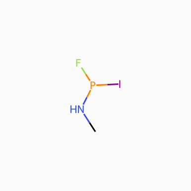 CNP(F)I